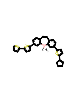 CB1c2cc(-c3ccc(C4=CC=CC4)s3)ccc2C=Cc2ccc(-c3ccc(-c4cccs4)s3)cc21